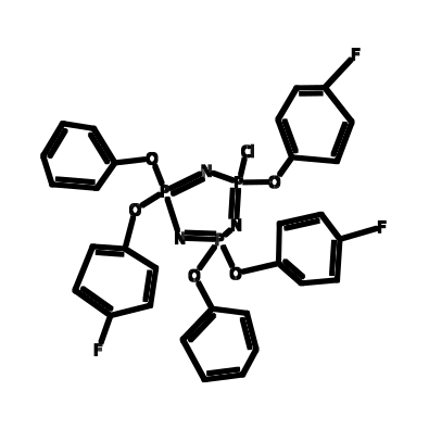 Fc1ccc(OP2(Cl)=NP(Oc3ccccc3)(Oc3ccc(F)cc3)=NP(Oc3ccccc3)(Oc3ccc(F)cc3)=N2)cc1